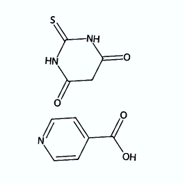 O=C(O)c1ccncc1.O=C1CC(=O)NC(=S)N1